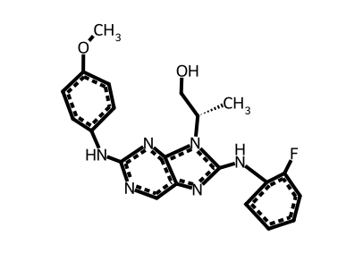 COc1ccc(Nc2ncc3nc(Nc4ccccc4F)n([C@@H](C)CO)c3n2)cc1